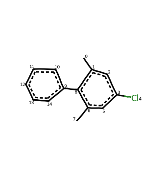 Cc1cc(Cl)cc(C)c1-c1ccccc1